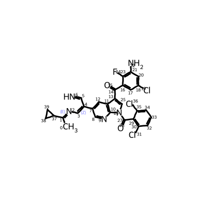 C/C(=N\C=C(/C=N)c1cnc2c(c1)c(C(=O)c1cc(Cl)cc(N)c1F)cn2C(=O)c1c(Cl)cccc1Cl)C1CC1